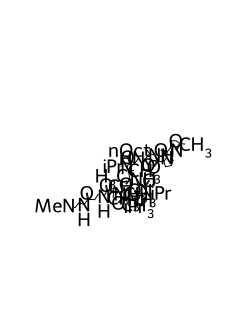 CCCCCCCCC(NC(=O)C1CCCN1C(=O)c1coc(C)n1)C(=O)NCC(=O)N(C(C)C)C(C)(C)C(=O)NCC(=O)N(C(C)C)C(CC(C)C)C(=O)NC(C)(C)C(=O)NC(C)(C)C(=O)NCCC(=O)NCCNC